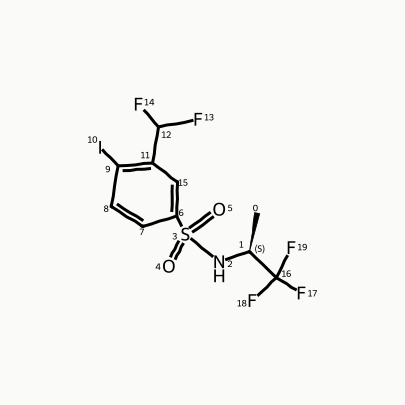 C[C@H](NS(=O)(=O)c1ccc(I)c(C(F)F)c1)C(F)(F)F